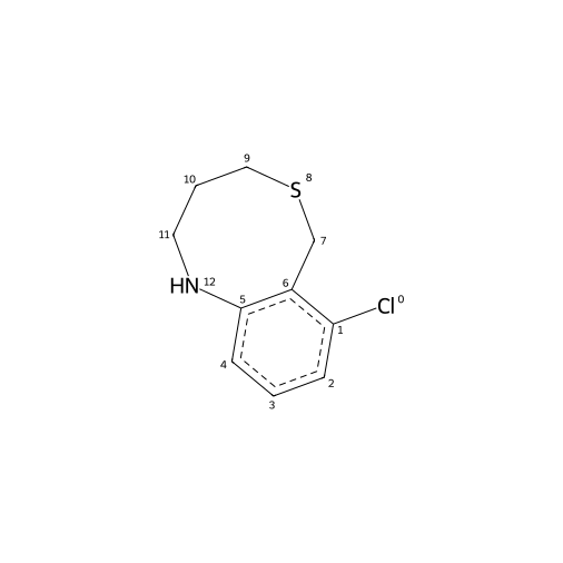 Clc1cccc2c1CSCCCN2